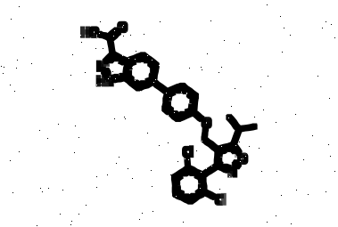 CC(C)c1onc(-c2c(Cl)cccc2Cl)c1COc1ccc(-c2ccc3c(C(=O)O)n[nH]c3c2)cc1